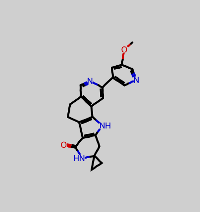 COc1cncc(-c2cc3c(cn2)CCc2c-3[nH]c3c2C(=O)NC2(CC2)C3)c1